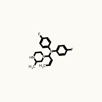 C/C=C\C(N1CCNC(C)C1)N(c1ccc(F)cc1)c1ccc(F)cc1